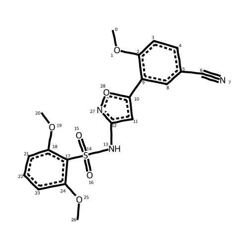 COc1ccc(C#N)cc1-c1cc(NS(=O)(=O)c2c(OC)cccc2OC)no1